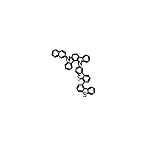 c1ccc2cc(-n3c4ccccc4c4c3ccc3c5ccccc5n(-c5ccc6sc7c(-c8cccc9sc%10ccccc%10c89)cccc7c6c5)c34)ccc2c1